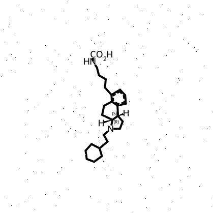 O=C(O)NCCCCc1cccc2c1CC[C@@H]1[C@H]2CCN1CCC1CCCCC1